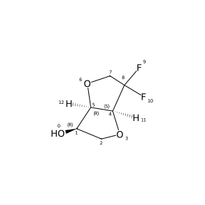 O[C@@H]1CO[C@H]2[C@@H]1OCC2(F)F